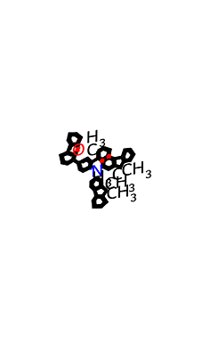 Cc1ccccc1-c1cc(-c2cccc3c2oc2ccccc23)ccc1N(c1ccc2c(c1)C(C)(C)c1ccccc1-2)c1ccc2c(c1)C(C)(C)c1ccccc1-2